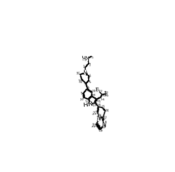 CNCCN1CCC(c2ccc3[nH]c(-c4ccc5nccn5c4)c(CC(F)F)c3c2)CC1